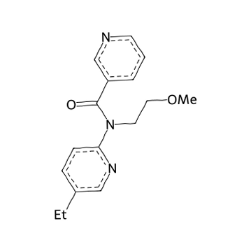 CCc1ccc(N(CCOC)C(=O)c2cccnc2)nc1